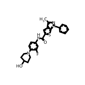 Cc1nn(-c2ccccc2)c2sc(C(=O)Nc3ccc(N4CCC(O)CC4)c(F)c3)cc12